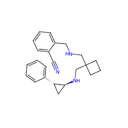 N#Cc1ccccc1CNCC1(CN[C@H]2C[C@@H]2c2ccccc2)CCC1